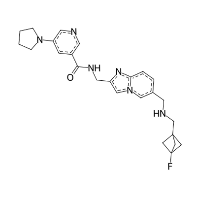 O=C(NCc1cn2cc(CNCC34CC(F)(C3)C4)ccc2n1)c1cncc(N2CCCC2)c1